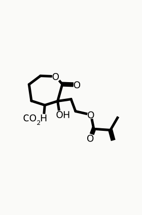 C=C(C)C(=O)OCCC1(O)C(=O)OCCCC1C(=O)O